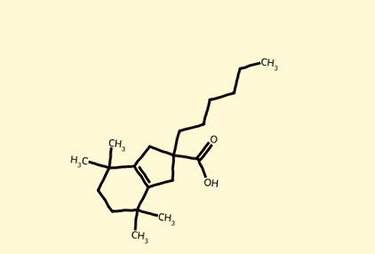 CCCCCCC1(C(=O)O)CC2=C(C1)C(C)(C)CCC2(C)C